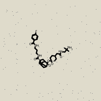 CC(C)(N)CNC(=O)CC1CC[C@]2(CC1)OO[C@]1(O2)C2CC3CC1C[C@](C(=O)NCCCNC(=O)c1ccc(F)cc1)(C3)C2